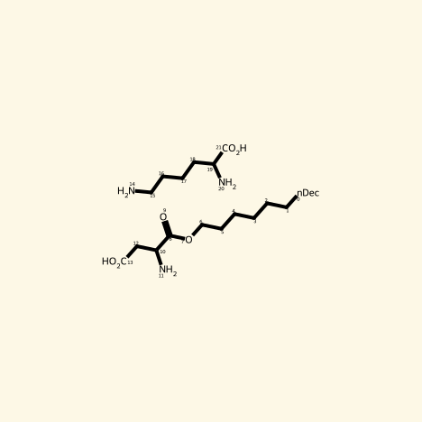 CCCCCCCCCCCCCCCCOC(=O)C(N)CC(=O)O.NCCCCC(N)C(=O)O